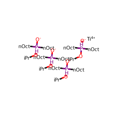 CCCCCCCC[PH]([O-])(CCCCCCCC)OC(C)C.CCCCCCCC[PH]([O-])(CCCCCCCC)OC(C)C.CCCCCCCC[PH]([O-])(CCCCCCCC)OC(C)C.CCCCCCCC[PH]([O-])(CCCCCCCC)OC(C)C.[Ti+4]